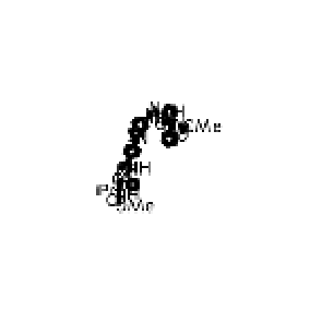 COC(=O)N[C@H](C(=O)N1CCC[C@H]1c1ncc(-c2ccc(-c3nc4cc(-c5cnc([C@@H]6CCCN6C(=O)[C@H](NC(=O)OC)c6ccccc6)[nH]5)ccc4s3)cc2)[nH]1)C(C)C